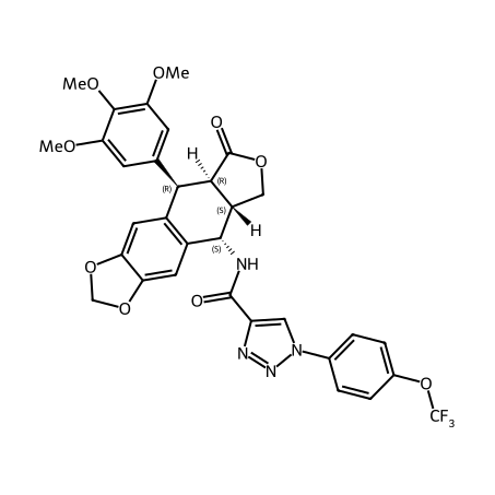 COc1cc([C@@H]2c3cc4c(cc3[C@@H](NC(=O)c3cn(-c5ccc(OC(F)(F)F)cc5)nn3)[C@H]3COC(=O)[C@H]23)OCO4)cc(OC)c1OC